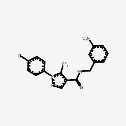 O=C(NCc1cccc([N+](=O)[O-])c1)c1cnn(-c2ccc(Cl)cc2)c1C(F)(F)F